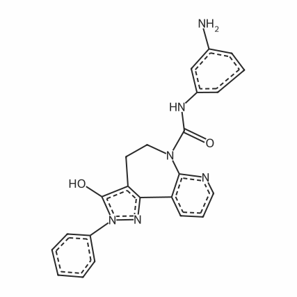 Nc1cccc(NC(=O)N2CCc3c(nn(-c4ccccc4)c3O)-c3cccnc32)c1